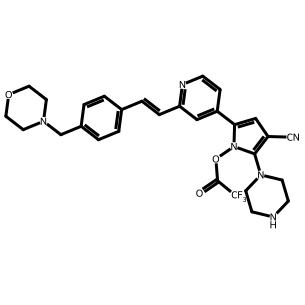 N#Cc1cc(-c2ccnc(C=Cc3ccc(CN4CCOCC4)cc3)c2)n(OC(=O)C(F)(F)F)c1N1CCNCC1